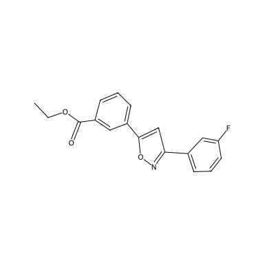 CCOC(=O)c1cccc(-c2cc(-c3cccc(F)c3)no2)c1